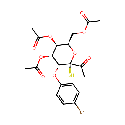 CC(=O)OC[C@H]1O[C@](S)(C(C)=O)[C@H](Oc2ccc(Br)cc2)[C@@H](OC(C)=O)[C@H]1OC(C)=O